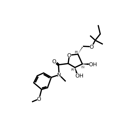 CCC(C)(C)OC[C@H]1OC(C(=O)N(C)c2cccc(OC)c2)[C@H](O)[C@@H]1O